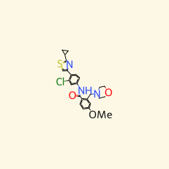 COc1ccc(C(=O)Nc2ccc(-c3csc(C4CC4)n3)c(Cl)c2)c(CN2CCOCC2)c1